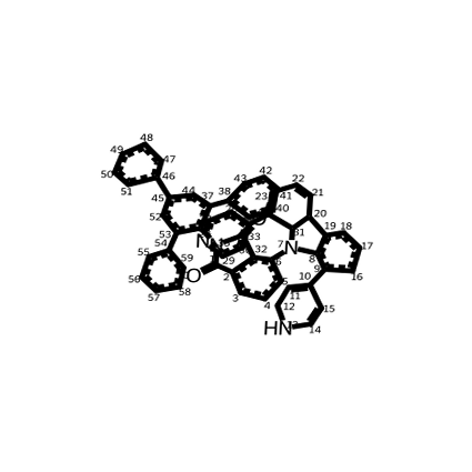 O=C1c2cccc(N3c4c(C5=CCNC=C5)cccc4C4C=CC=C(c5ccncc5)C43)c2C(=O)N1c1c(-c2ccccc2)cc(-c2ccccc2)cc1-c1ccccc1